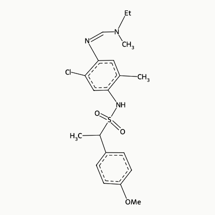 CCN(C)/C=N\c1cc(C)c(NS(=O)(=O)C(C)c2ccc(OC)cc2)cc1Cl